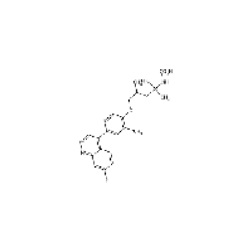 Cc1cc(-c2ccnc3cc(F)ccc23)ncc1OCC(C)CC(C)(C)NC(=O)O